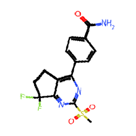 CS(=O)(=O)c1nc(-c2ccc(C(N)=O)cc2)c2c(n1)C(F)(F)CC2